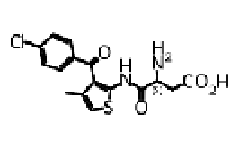 Cc1csc(NC(=O)[C@@H](N)CC(=O)O)c1C(=O)c1ccc(Cl)cc1